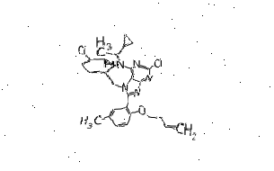 C=CCCOc1ccc(C)cc1-c1nc2nc(Cl)nc(NC(C)C3CC3)c2n1Cc1ccc(Cl)cc1